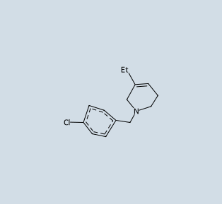 CCC1=CCCN(Cc2ccc(Cl)cc2)C1